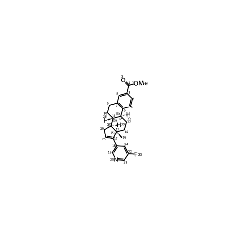 COC(=O)c1ccc2c(c1)CC[C@@H]1[C@@H]2CC[C@]2(C)C(c3cncc(F)c3)=CC[C@@H]12